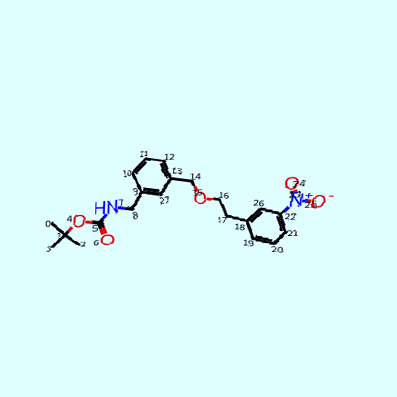 CC(C)(C)OC(=O)NCc1cccc(COCCc2cccc([N+](=O)[O-])c2)c1